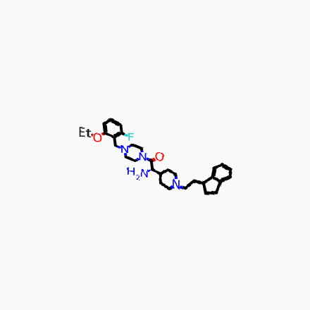 CCOc1cccc(F)c1CN1CCN(C(=O)[C@H](N)C2CCN(CCC3CCc4ccccc43)CC2)CC1